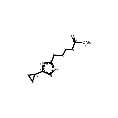 COC(=O)CCCCc1nc(C2CC2)cs1